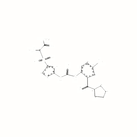 COC(=O)C(C)S(=O)(=O)c1cnc(NC(=O)Nc2ccc(C)cc2C(=O)C2CCCC2)s1